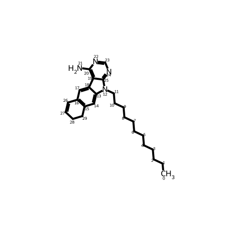 CCCCCCCCCCCCn1c2cc3c(cc2c2c(N)ncnc21)C=CCC3